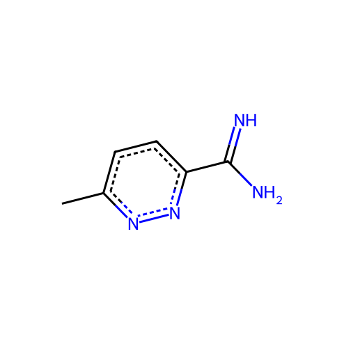 Cc1ccc(C(=N)N)nn1